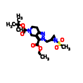 CCOC(=O)c1c2c(nn1CC1CN1S(C)(=O)=O)CCN(C(=O)OC(C)(C)C)C2